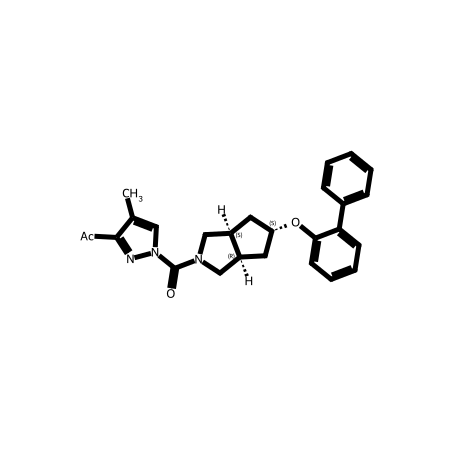 CC(=O)c1nn(C(=O)N2C[C@H]3C[C@H](Oc4ccccc4-c4ccccc4)C[C@H]3C2)cc1C